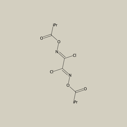 CC(C)C(=O)ON=C(Cl)C(Cl)=NOC(=O)C(C)C